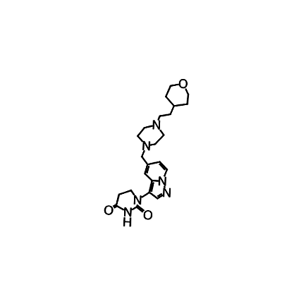 O=C1CCN(c2cnn3ccc(CN4CCN(CCC5CCOCC5)CC4)cc23)C(=O)N1